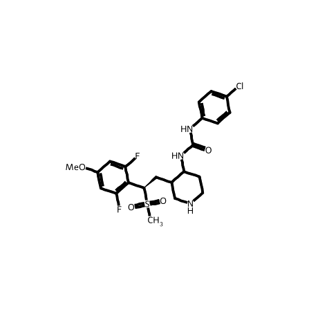 COc1cc(F)c([C@@H](CC2CNCCC2NC(=O)Nc2ccc(Cl)cc2)S(C)(=O)=O)c(F)c1